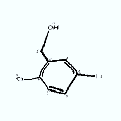 OCc1cc(I)ccc1Cl